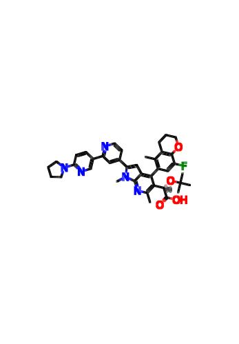 Cc1nc2c(cc(-c3ccnc(-c4ccc(N5CCCC5)nc4)c3)n2C)c(-c2cc(F)c3c(c2C)CCCO3)c1[C@H](OC(C)(C)C)C(=O)O